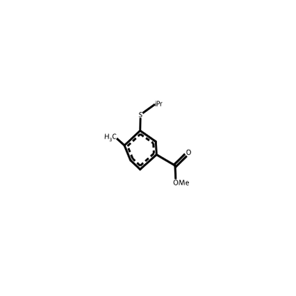 COC(=O)c1ccc(C)c(SC(C)C)c1